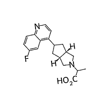 CC(C(=O)O)N1C[C@H]2CC(c3ccnc4ccc(F)cc34)C[C@H]2C1